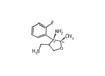 BCC1CO[C@H](C)[C@@]1(N)c1ccccc1F